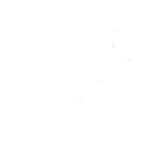 COc1cc(N2CCC(NCc3ccc(-c4ccccc4)cc3)C2=O)ccc1-n1cnc(C)c1